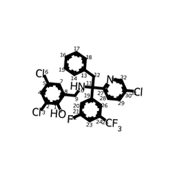 Oc1c(Cl)cc(Cl)cc1CNC(Cc1ccccc1)(c1cc(F)cc(C(F)(F)F)c1)c1ccc(Cl)cn1